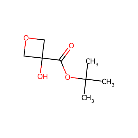 CC(C)(C)OC(=O)C1(O)COC1